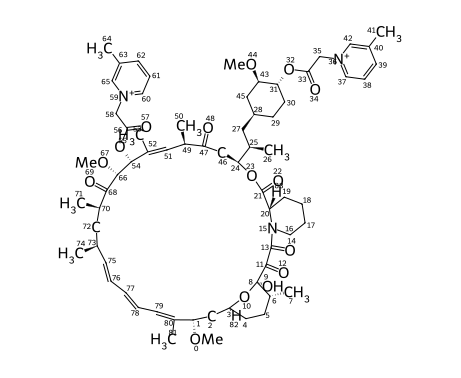 CO[C@H]1C[C@@H]2CC[C@@H](C)[C@@](O)(O2)C(=O)C(=O)N2CCCC[C@H]2C(=O)O[C@H]([C@H](C)C[C@@H]2CC[C@@H](OC(=O)C[n+]3cccc(C)c3)[C@H](OC)C2)CC(=O)[C@H](C)/C=C(\C)[C@@H](OC(=O)C[n+]2cccc(C)c2)[C@@H](OC)C(=O)[C@H](C)C[C@H](C)/C=C/C=C/C=C/1C